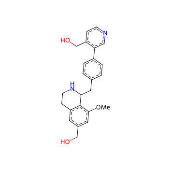 COc1cc(CO)cc2c1C(Cc1ccc(-c3cnccc3CO)cc1)NCC2